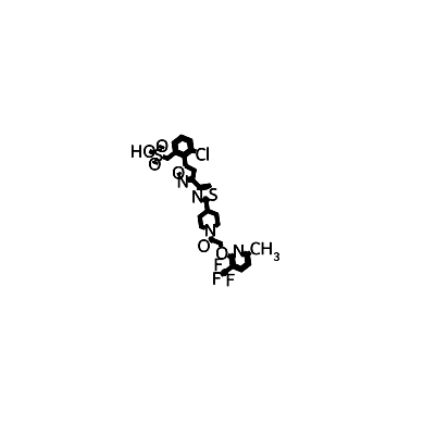 Cc1ccc(C(F)(F)F)c(OCC(=O)N2CCC(c3nc(C4=NOC(c5c(Cl)cccc5CS(=O)(=O)O)C4)cs3)CC2)n1